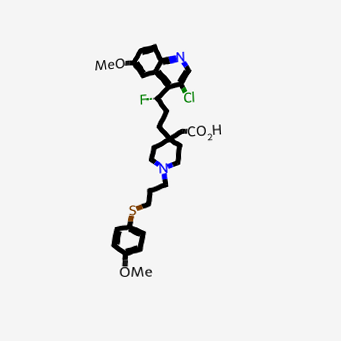 COc1ccc(SCCCN2CCC(CC[C@H](F)c3c(Cl)cnc4ccc(OC)cc34)(CC(=O)O)CC2)cc1